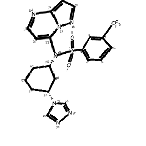 O=S(=O)(c1cccc(C(F)(F)F)c1)N(c1ccnc2ccnn12)[C@H]1CCC[C@@H](n2cnnc2)C1